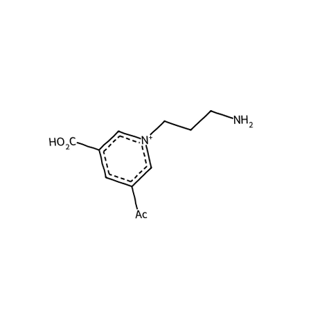 CC(=O)c1cc(C(=O)O)c[n+](CCCN)c1